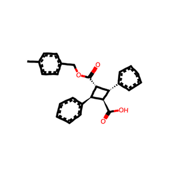 Cc1ccc(COC(=O)[C@H]2[C@H](c3ccccc3)[C@H](C(=O)O)[C@H]2c2ccccc2)cc1